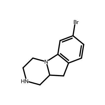 Brc1ccc2c(c1)N1CCNCC1C2